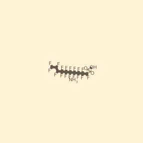 N.O=S(=O)(O)C(F)C(F)(F)C(F)(F)C(F)(F)C(F)(F)C(F)(F)C(F)(F)C(F)C(F)C(F)F